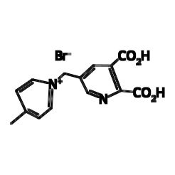 Cc1cc[n+](Cc2cnc(C(=O)O)c(C(=O)O)c2)cc1.[Br-]